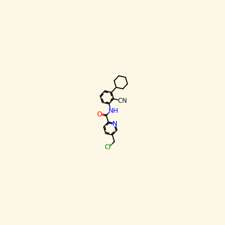 N#Cc1c(NC(=O)c2ccc(CCl)cn2)cccc1C1CCCCC1